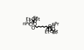 CCCOC(OC(=O)CCCCCCC(=O)OC(OCCC)C(OCC)(OCC)OCC)C(OCC)(OCC)OCC